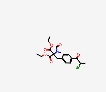 CCOC(=O)C(Cc1ccc(C(=O)C(C)Br)cc1)(C(=O)OCC)N(C)C=O